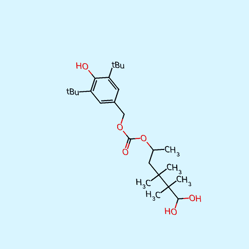 CC(CC(C)(C)C(C)(C)C(O)O)OC(=O)OCc1cc(C(C)(C)C)c(O)c(C(C)(C)C)c1